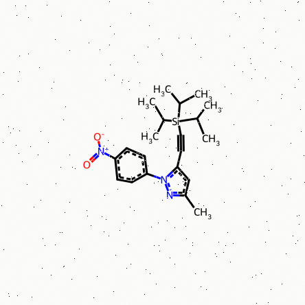 Cc1cc(C#C[Si](C(C)C)(C(C)C)C(C)C)n(-c2ccc([N+](=O)[O-])cc2)n1